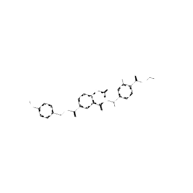 CCOC(=O)c1ccc(C(C)n2c(=O)[nH]c3ccc(C(=O)NCc4ccc(OC)cc4)cc3c2=O)cc1F